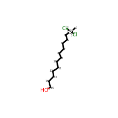 C[Si](Cl)(Cl)CCCCCCCCCCCCO